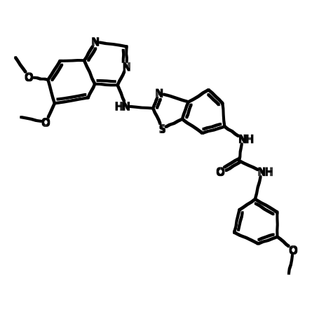 COc1cccc(NC(=O)Nc2ccc3nc(Nc4ncnc5cc(OC)c(OC)cc45)sc3c2)c1